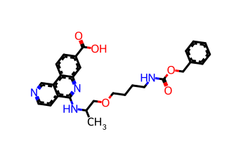 CC(COCCCCNC(=O)OCc1ccccc1)Nc1nc2cc(C(=O)O)ccc2c2cnccc12